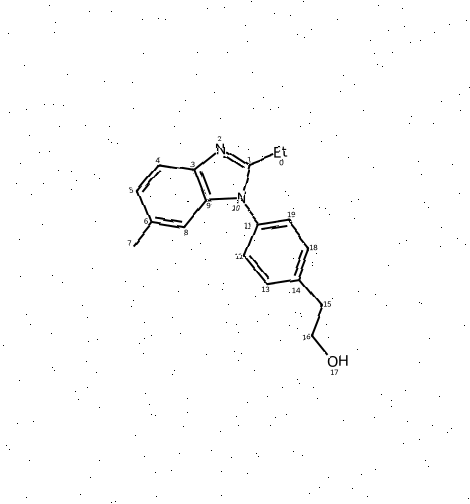 CCc1nc2ccc(C)cc2n1-c1ccc(CCO)cc1